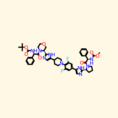 COC(=O)N[C@@H](C(=O)N1CCC[C@H]1c1ncc(-c2cc(F)c(N3CCC(c4cnc([C@@H]5COCCN5C(=O)[C@H](NC(=O)OC(C)(C)C)c5ccccc5)[nH]4)CC3)c(F)c2)[nH]1)c1ccccc1